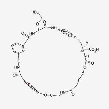 CC(C)(C)COC1NC(=O)c2cccc(c2)CNC(=O)c2ccc(cc2)OCCNC(=O)CCCCC(=O)N[C@H](C(=O)O)Cc2ccc(cc2)NC1=O